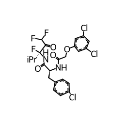 CC(C)[C@@](F)(NC(=O)[C@H](Cc1ccc(Cl)cc1)NC(=O)COc1cc(Cl)cc(Cl)c1)C(=O)C(F)F